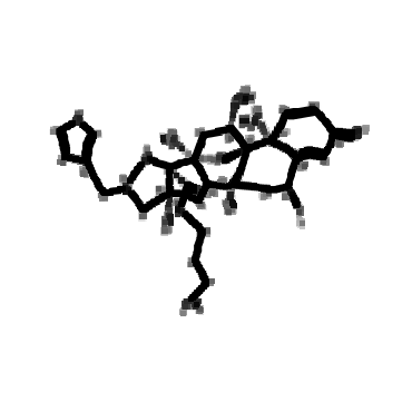 CCCCSC(=O)[C@@]12ON(Cc3ccoc3)C[C@@H]1CC1[C@@H]3C[C@H](F)C4=CC(=O)C=C[C@]4(C)[C@@]3(F)[C@@H](O)C[C@@]12C